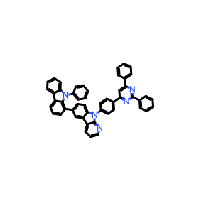 c1ccc(-c2cc(-c3ccc(-n4c5ccc(-c6cccc7c8ccccc8n(-c8ccccc8)c67)cc5c5cccnc54)cc3)nc(-c3ccccc3)n2)cc1